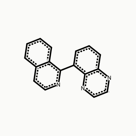 [c]1cnc2c(-c3nccc4ccccc34)cccc2n1